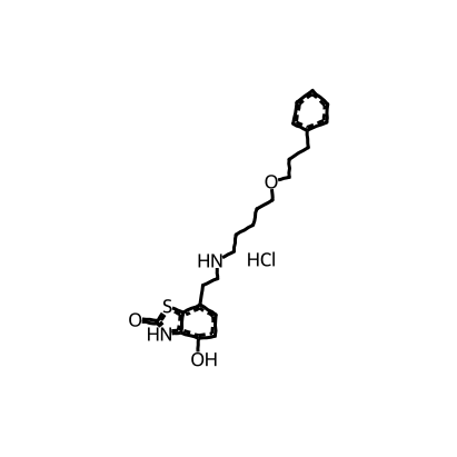 Cl.O=c1[nH]c2c(O)ccc(CCNCCCCCOCCCc3ccccc3)c2s1